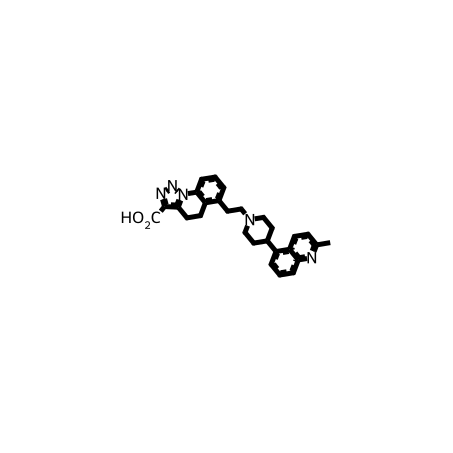 Cc1ccc2c(C3CCN(CCc4cccc5c4CCc4c(C(=O)O)nnn4-5)CC3)cccc2n1